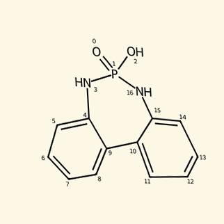 O=P1(O)Nc2ccccc2-c2ccccc2N1